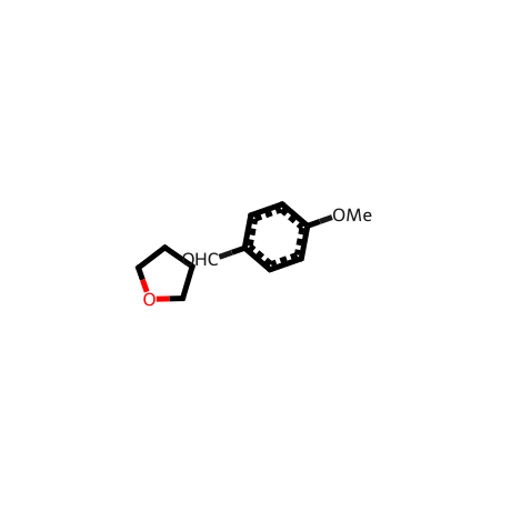 C1CCOC1.COc1ccc(C=O)cc1